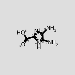 Nc1nc(C(=O)O)[nH]c1N